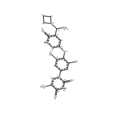 Cc1nn(-c2cc(Cl)c(Oc3cc(C(C)N4CCC4)c(=O)[nH]n3)c(Cl)c2)c(=O)[nH]c1=O